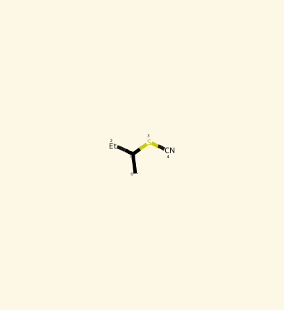 [CH2]C(CC)SC#N